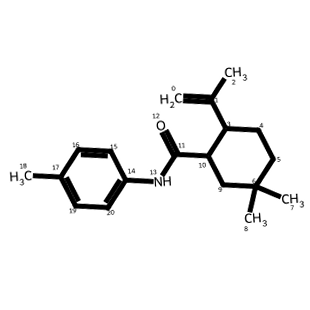 C=C(C)C1CCC(C)(C)CC1C(=O)Nc1ccc(C)cc1